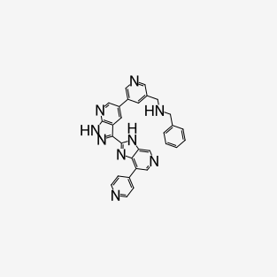 c1ccc(CNCc2cncc(-c3cnc4[nH]nc(-c5nc6c(-c7ccncc7)cncc6[nH]5)c4c3)c2)cc1